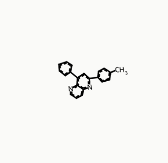 Cc1ccc(-c2cc(-c3ccccc3)c3ncccc3n2)cc1